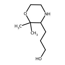 CC1(C)OCCNC1CCCO